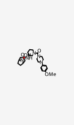 COc1ccc(N2CCN(C(=O)N3CCC[C@H](NC(=O)N4C5CCC4CC(O)C5)C3)CC2)cc1